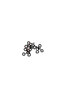 c1ccc(-c2cccc(-c3ccccc3)c2N2c3cc(-n4c(-c5ccccc5)c(-c5ccccc5)c5ccccc54)ccc3B3c4ccc(-n5c(-c6ccccc6)c(-c6ccccc6)c6ccccc65)cc4Sc4cccc2c43)cc1